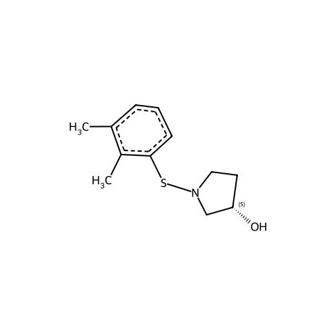 Cc1cccc(SN2CC[C@H](O)C2)c1C